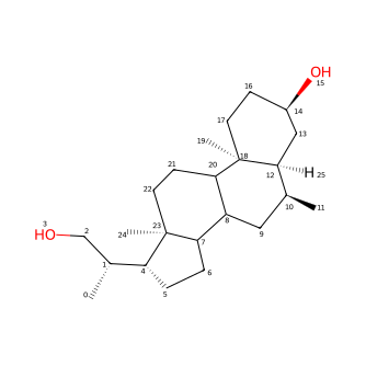 C[C@H](CO)[C@H]1CCC2C3C[C@H](C)[C@@H]4C[C@H](O)CC[C@]4(C)C3CC[C@@]21C